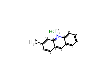 Cc1ccc2cc3ccccc3nc2c1.Cl